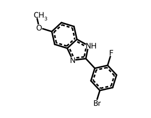 COc1ccc2[nH]c(-c3cc(Br)ccc3F)nc2c1